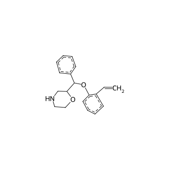 C=Cc1ccccc1OC(c1ccccc1)C1CNCCO1